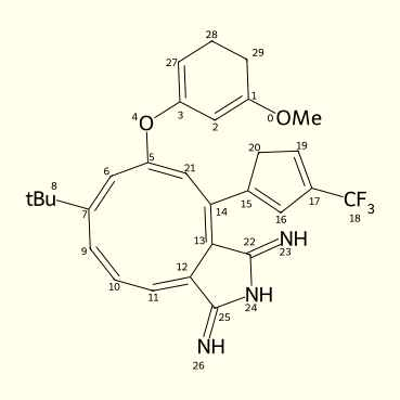 COC1=CC(Oc2cc(C(C)(C)C)cccc3c(c(C4=CC(C(F)(F)F)=CC4)c2)C(=N)NC3=N)=CCC1